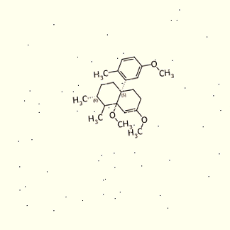 COC1=CC2(OC)C(C)[C@H](C)CC[C@@]2(c2cc(OC)ccc2C)CC1